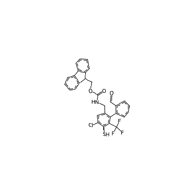 O=Cc1ccccc1-c1c(CNC(=O)OCC2c3ccccc3-c3ccccc32)cc(Cl)c(S)c1C(F)(F)F